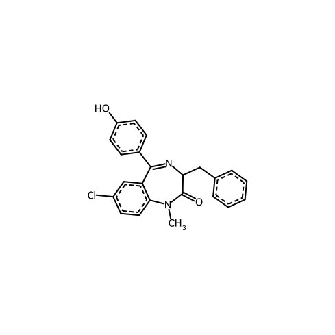 CN1C(=O)C(Cc2ccccc2)N=C(c2ccc(O)cc2)c2cc(Cl)ccc21